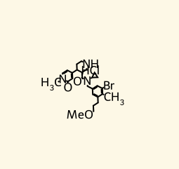 COCCCc1cc(CN(C(=O)C2CNCCC2c2ccn(C)c(=O)c2)C2CC2)cc(Br)c1C.Cl